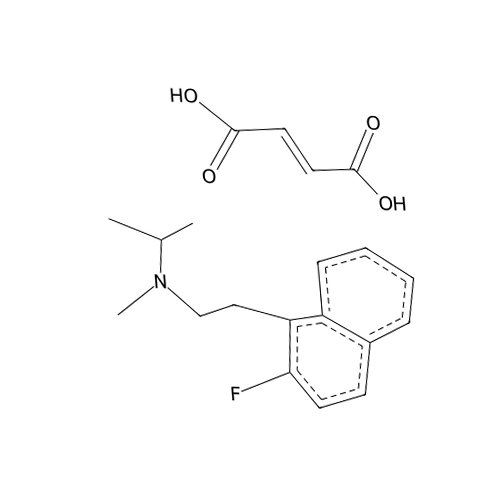 CC(C)N(C)CCc1c(F)ccc2ccccc12.O=C(O)/C=C/C(=O)O